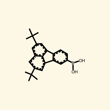 CC(C)(C)c1cc2c3c(cc(C(C)(C)C)cc3c1)-c1cc(B(O)O)ccc1-2